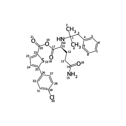 CC(C)(Cc1ccccc1)N[C@@H](CCC(N)=O)C(=O)OC(=O)c1ccc(-c2ccc(Cl)cc2)s1